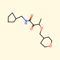 CC(OCC1CCOCC1)C(=O)C(=O)NCC1CCCC1